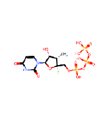 C[C@H]1[C@@H](O)[C@H](n2ccc(=O)[nH]c2=O)O[C@]1(F)COP(=O)(O)OP(=O)(O)OP(=O)(O)O